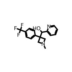 CN1CC(c2ccc(C(F)(F)F)cc2)(C(O)c2ccccn2)C1